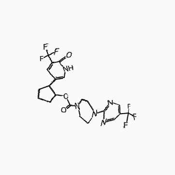 O=C(OC1CCCC1c1c[nH]c(=O)c(C(F)(F)F)c1)N1CCN(c2ncc(C(F)(F)F)cn2)CC1